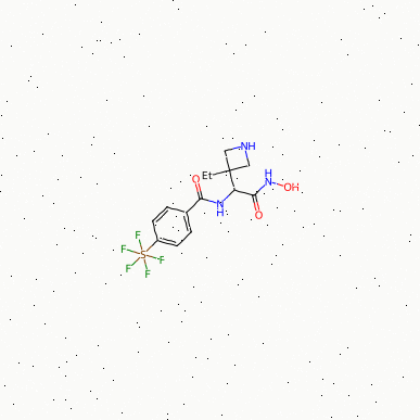 CCC1(C(NC(=O)c2ccc(S(F)(F)(F)(F)F)cc2)C(=O)NO)CNC1